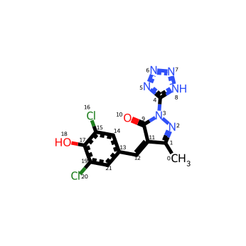 CC1=NN(c2nnn[nH]2)C(=O)/C1=C\c1cc(Cl)c(O)c(Cl)c1